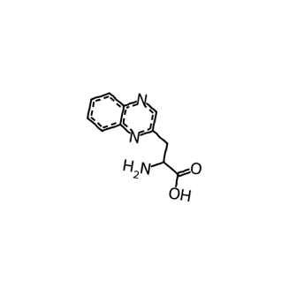 NC(Cc1cnc2ccccc2n1)C(=O)O